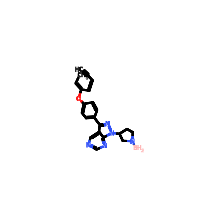 BN1CCC(n2nc(-c3ccc(OC(/C=C\C#C)=C/C)cc3)c3cncnc32)C1